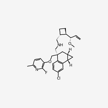 C=C[C@H](OC)[C@@H]1CC[C@H]1CNC[C@]1(COc2ccc(C)nc2F)C[C@@H]2C[C@@H]2c2cc(Cl)ccc21